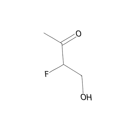 CC(=O)C(F)CO